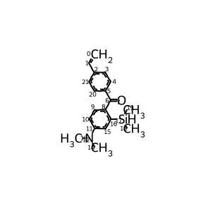 C=Cc1ccc(C(=O)c2ccc(N(C)C)cc2[SiH](C)C)cc1